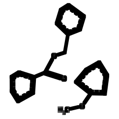 COc1ccccc1.O=C(OCc1ccccc1)c1ccccc1